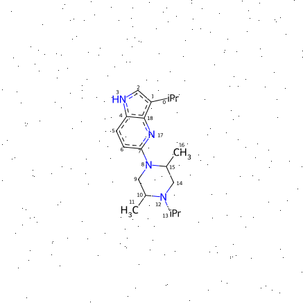 CC(C)c1c[nH]c2ccc(N3CC(C)N(C(C)C)CC3C)nc12